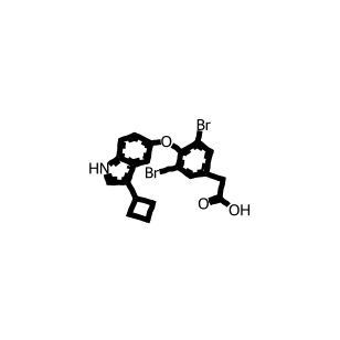 O=C(O)Cc1cc(Br)c(Oc2ccc3[nH]cc(C4CCC4)c3c2)c(Br)c1